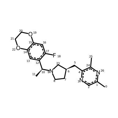 Cc1cnc(C[C@H]2CCN([C@@H](C)c3cc4c(cc3F)OCCO4)C2)c(C)n1